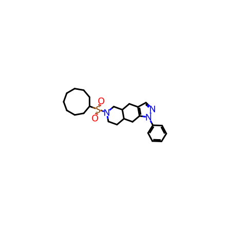 O=S(=O)(C1CCCCCCCC1)N1CCC2Cc3c(cnn3-c3ccccc3)CC2C1